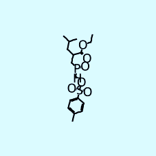 CCOC(=O)C(CC(C)C)C[PH](=O)COS(=O)(=O)c1ccc(C)cc1